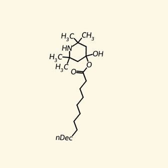 CCCCCCCCCCCCCCCCCC(=O)OC1(O)CC(C)(C)NC(C)(C)C1